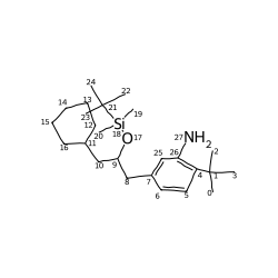 CC(C)(C)c1ccc(CC(CC2CCCCC2)O[Si](C)(C)C(C)(C)C)cc1N